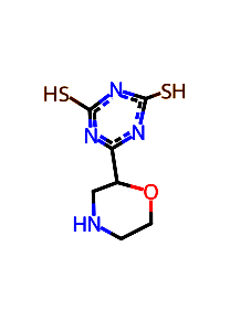 Sc1nc(S)nc(C2CNCCO2)n1